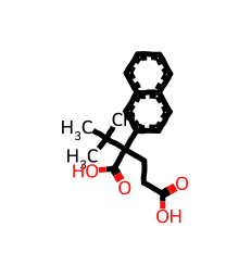 CC(C)(C)C(CCC(=O)O)(C(=O)O)c1ccc2ccccc2c1